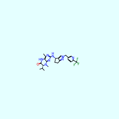 Cc1nc(N[C@@H]2CCc3nn(Cc4ccc(C(F)(F)F)nc4)cc32)nc2c1NC(=O)[C@H](C(C)C)N2C